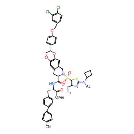 COC(=O)[C@H](Cc1ccc(-c2ccc(C#N)cc2)cc1)NC(=O)C1Cc2cc3c(cc2CN1S(=O)(=O)c1sc(N(C(C)=O)C2CCC2)nc1C)O[C@@H](c1ccc(OCc2ccc(Cl)c(Cl)c2)cc1)CO3